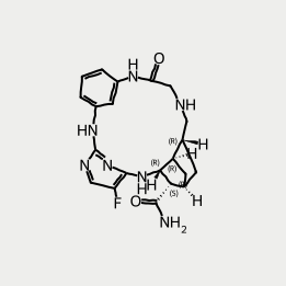 NC(=O)[C@H]1[C@@H]2C[C@H]3CNCC(=O)Nc4cccc(c4)Nc4ncc(F)c(n4)N[C@@H]1[C@@H]3C2